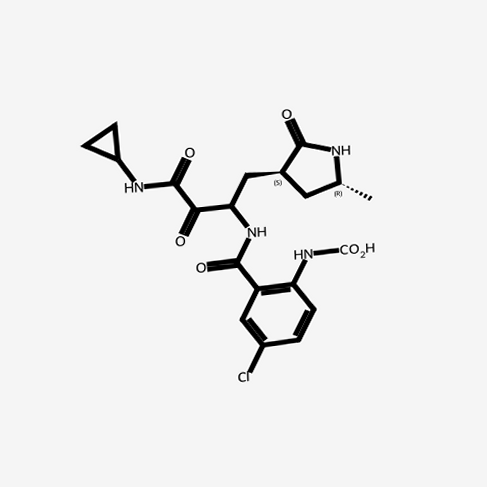 C[C@@H]1C[C@@H](CC(NC(=O)c2cc(Cl)ccc2NC(=O)O)C(=O)C(=O)NC2CC2)C(=O)N1